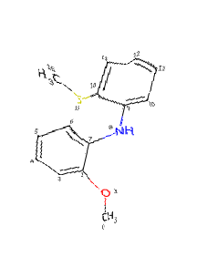 COc1ccccc1Nc1ccccc1SC